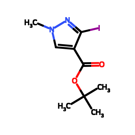 Cn1cc(C(=O)OC(C)(C)C)c(I)n1